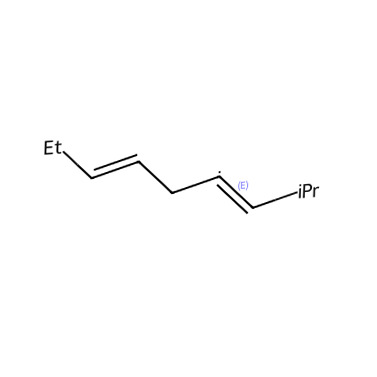 CCC=CC/[C]=C/C(C)C